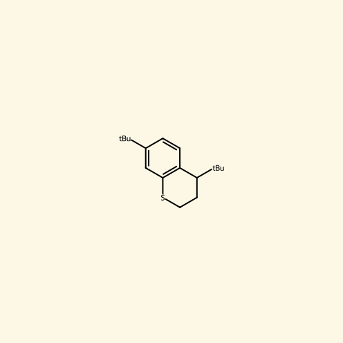 CC(C)(C)c1ccc2c(c1)SCCC2C(C)(C)C